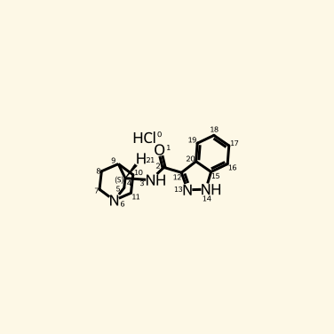 Cl.O=C(N[C@@H]1CN2CCC1CC2)c1n[nH]c2ccccc12